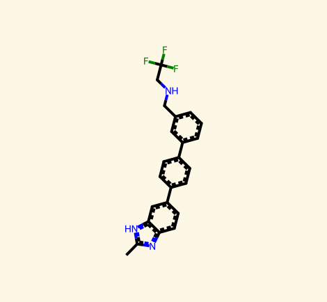 Cc1nc2ccc(-c3ccc(-c4cccc(CNCC(F)(F)F)c4)cc3)cc2[nH]1